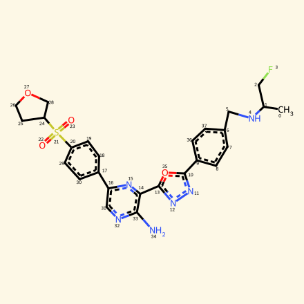 CC(CF)NCc1ccc(-c2nnc(-c3nc(-c4ccc(S(=O)(=O)C5CCOC5)cc4)cnc3N)o2)cc1